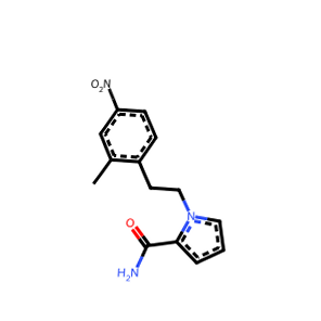 Cc1cc([N+](=O)[O-])ccc1CCn1cccc1C(N)=O